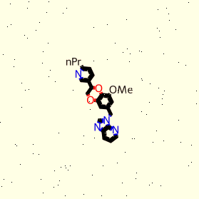 CCCc1ccc(C2COc3cc(Cn4cnc5cccnc54)cc(OC)c3O2)cn1